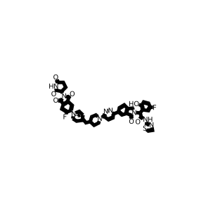 O=C1CCC(N2C(=O)c3cc(F)c(N4CC5CCC4CN5CC4CCN(c5ccc(-c6ccc7c(c6)C(=O)N(C(C(=O)Nc6nccs6)c6cc(F)ccc6O)C7)nn5)CC4)cc3C2=O)C(=O)N1